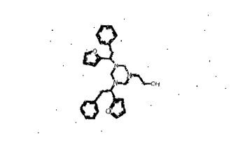 OCCN1CN(C(Cc2ccccc2)c2ccco2)CN(C(Cc2ccccc2)c2ccco2)C1